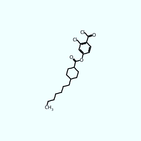 CCCCCCCC1CCC(C(=O)Oc2ccc(C(=O)Cl)c(Cl)c2)CC1